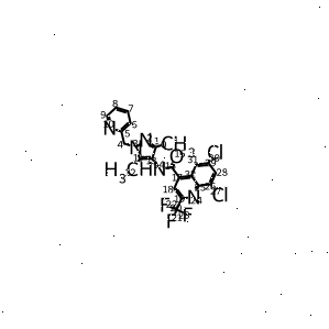 Cc1nn(Cc2ccccn2)c(C)c1NC(=O)c1cc(C(F)(F)F)nc2c(Cl)cc(Cl)cc12